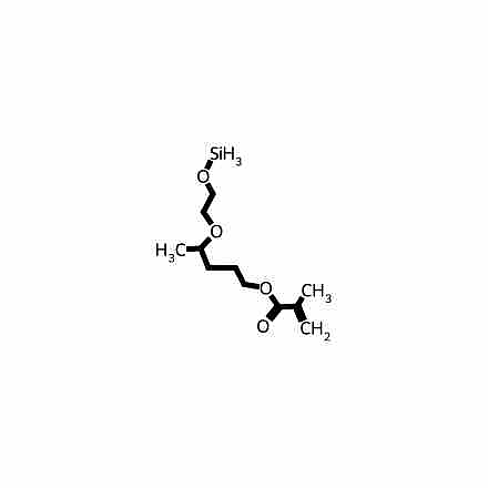 C=C(C)C(=O)OCCCC(C)OCCO[SiH3]